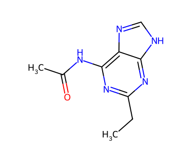 CCc1nc(NC(C)=O)c2nc[nH]c2n1